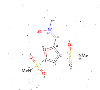 CNS(=O)(=O)c1cc(S(=O)(=O)NC)c(C=[N+](C)[O-])o1